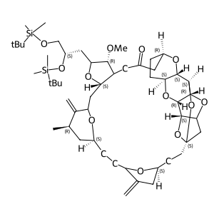 C=C1C[C@@H]2CC[C@@]34CC5O[C@H]6[C@@H](O3)[C@H]3O[C@H](CC[C@@H]3O[C@H]6[C@H]5O4)CC(=O)CC3[C@@H](OC)C(C[C@@H](CO[Si](C)(C)C(C)(C)C)O[Si](C)(C)C(C)(C)C)O[C@H]3CC3O[C@@H](CCC1O2)C[C@@H](C)C3=C